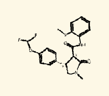 CSc1ccccc1NC(=O)[C@H]1C(=O)N(C)C[C@@H]1c1ccc(OC(F)F)cc1